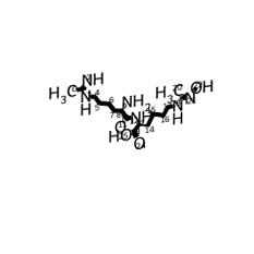 CC(=N)NCCCC[C@H](N)C(=O)N[C@@H](CCCCN/C(C)=N/O)C(=O)O